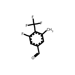 Cc1cc(C=O)cc(F)c1C(F)(F)F